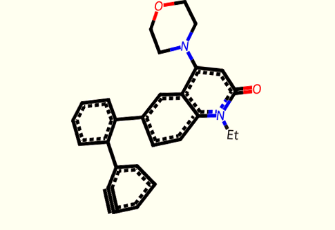 CCn1c(=O)cc(N2CCOCC2)c2cc(-c3ccccc3-c3c#cccc3)ccc21